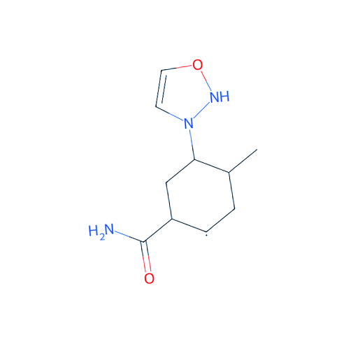 CC1C[CH]C(C(N)=O)CC1N1C=CON1